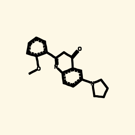 COc1ccccc1C1=Nc2ccc(N3CCCC3)cc2C(=O)C1